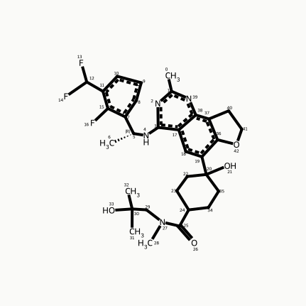 Cc1nc(N[C@H](C)c2cccc(C(F)F)c2F)c2cc(C3(O)CCC(C(=O)N(C)CC(C)(C)O)CC3)c3c(c2n1)CCO3